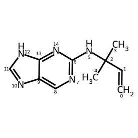 C=CC(C)(C)Nc1ncc2nc[nH]c2n1